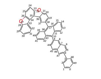 c1ccc(-c2ccc3cc(-c4c5ccccc5c(-c5ccc6oc7ccc8oc9ccccc9c8c7c6c5)c5ccccc45)ccc3c2)cc1